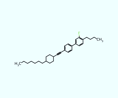 CCCCCCCC1CCC(C#Cc2ccc(-c3ccc(CCCC)c(F)c3)cc2)CC1